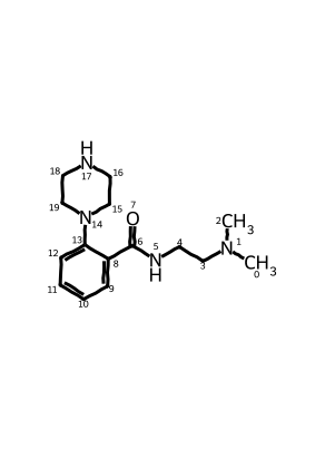 CN(C)CCNC(=O)c1ccccc1N1CCNCC1